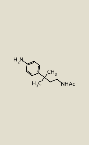 CC(=O)NCCC(C)(C)c1ccc(N)cc1